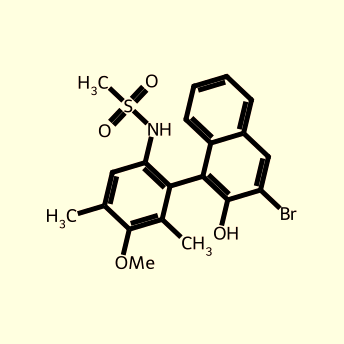 COc1c(C)cc(NS(C)(=O)=O)c(-c2c(O)c(Br)cc3ccccc23)c1C